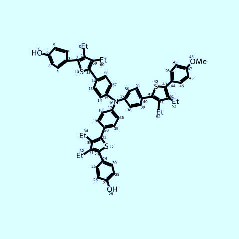 CCc1c(-c2ccc(O)cc2)sc(-c2ccc(N(c3ccc(-c4sc(-c5ccc(O)cc5)c(CC)c4CC)cc3)c3ccc(-c4sc(-c5ccc(OC)cc5)c(CC)c4CC)cc3)cc2)c1CC